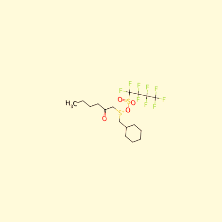 CCCCC(=O)C[S+](CC1CCCCC1)OS(=O)(=O)C(F)(F)C(F)(F)C(F)(F)C(F)(F)F